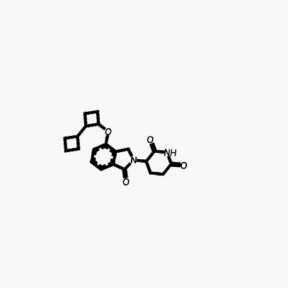 O=C1CCC(N2Cc3c(OC4CCC4C4CCC4)cccc3C2=O)C(=O)N1